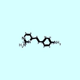 Nc1ccc(C=Cc2ccnc(N)n2)cc1